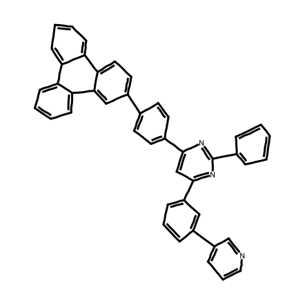 c1ccc(-c2nc(-c3ccc(-c4ccc5c6ccccc6c6ccccc6c5c4)cc3)cc(-c3cccc(-c4cccnc4)c3)n2)cc1